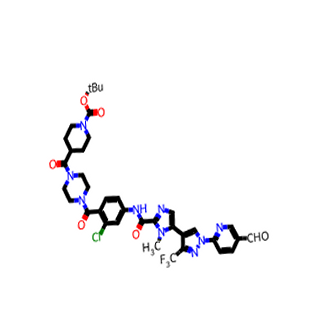 Cn1c(-c2cn(-c3ccc(C=O)cn3)nc2C(F)(F)F)cnc1C(=O)Nc1ccc(C(=O)N2CCN(C(=O)C3CCN(C(=O)OC(C)(C)C)CC3)CC2)c(Cl)c1